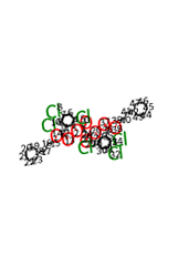 O=C(Oc1c(Cl)cc(Cl)c(Cl)c1C(=O)OCCCC1CCCCC1)C(=O)Oc1c(Cl)cc(Cl)c(Cl)c1C(=O)OCCCC1CCCCC1